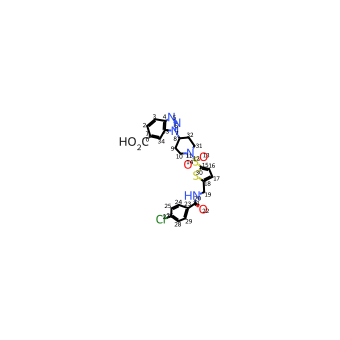 O=C(O)c1ccc2nnn(C3CCN(S(=O)(=O)c4ccc(CNC(=O)c5ccc(Cl)cc5)s4)CC3)c2c1